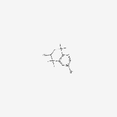 CC1(C)CC(=O)C(C)(C)c2cc(Br)ccc21